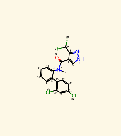 CN(C(=O)c1c[nH]nc1C(F)F)c1ccccc1-c1ccc(Cl)cc1Cl